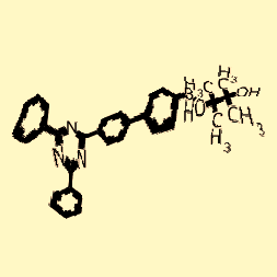 CC(C)(O)C(C)(C)OBc1ccc(-c2ccc(-c3nc(-c4ccccc4)nc(-c4ccccc4)n3)cc2)cc1